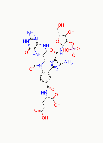 Nc1nc2c(c(=O)[nH]1)NC(CN(C=O)c1ccc(C(=O)NC(CCC(=O)O)C(=O)O)cc1-c1nc(C(=O)NC3O[C@H](CO)[C@@H](O)[C@H]3OP(=O)(O)O)c(N)[nH]1)CN2